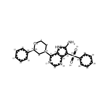 Nc1[nH]c2c(N3CCO[C@H](c4ccccc4)C3)ncnc2c1S(=O)(=O)c1ccccc1